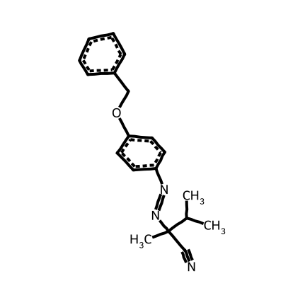 CC(C)C(C)(C#N)/N=N/c1ccc(OCc2ccccc2)cc1